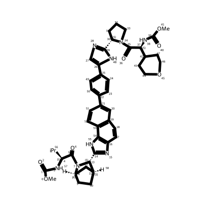 COC(=O)N[C@H](C(=O)N1[C@@H]2CC[C@@H](C2)[C@H]1c1nc2ccc3cc(-c4ccc(-c5cnc([C@@H]6CCCN6C(=O)[C@@H](NC(=O)OC)C6CCOCC6)[nH]5)cc4)ccc3c2[nH]1)C(C)C